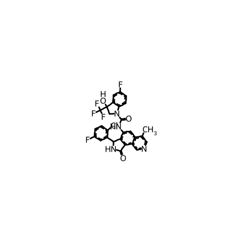 Cc1cncc2c3c(c(NC(=O)N4CC(O)(C(F)(F)F)c5cc(F)ccc54)cc12)C(c1cc(F)ccc1Cl)NC3=O